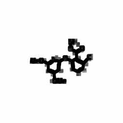 COc1cc(OC)nc(Oc2cccc(Cl)c2C(=O)ON)c1